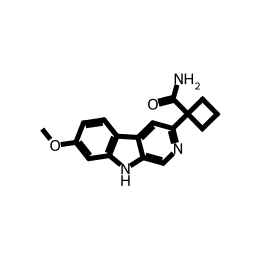 COc1ccc2c(c1)[nH]c1cnc(C3(C(N)=O)CCC3)cc12